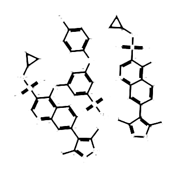 Cc1n[nH]c(C)c1-c1ccc2c(Cl)c(S(=O)(=O)NC3CC3)cnc2c1.Cc1n[nH]c(C)c1-c1ccc2c(Nc3cc(Oc4ccc(F)cc4)cc(S(N)(=O)=O)c3)c(S(=O)(=O)NC3CC3)cnc2c1